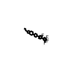 C=CCC1CC2CCC(C3CCC(c4ccc(-c5cc(F)c(F)c(F)c5)c(F)c4)CC3)CCC2C1